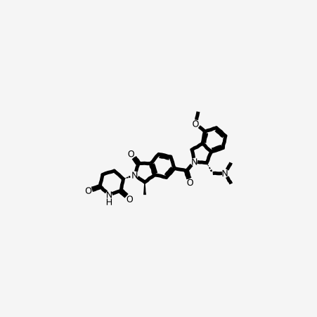 COc1cccc2c1CN(C(=O)c1ccc3c(c1)[C@@H](C)N([C@H]1CCC(=O)NC1=O)C3=O)[C@H]2CN(C)C